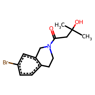 CC(C)(O)CC(=O)N1CCc2ccc(Br)cc2C1